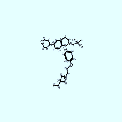 CC(F)(F)CN1CCc2cc(N3CCOCC3)ccc2[C@H]1c1ccc(OCCN2CC(CF)C2)cc1